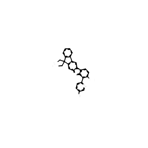 Cc1ccc(-c2c(C)ccc3c2oc2cc4c(cc23)-c2ccccc2C4(CC(C)(C)C)CC(C)(C)C)nc1